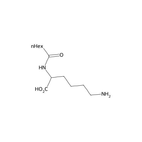 CCCCCCC(=O)NC(CCCCN)C(=O)O